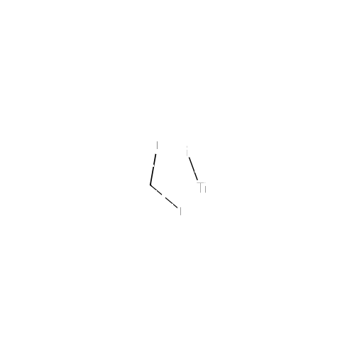 ICI.[Ti][I]